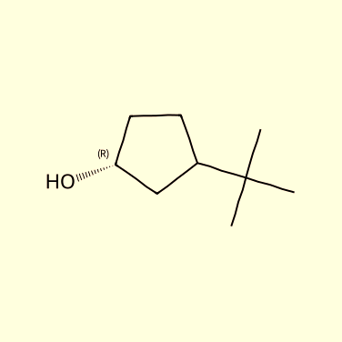 CC(C)(C)C1CC[C@@H](O)C1